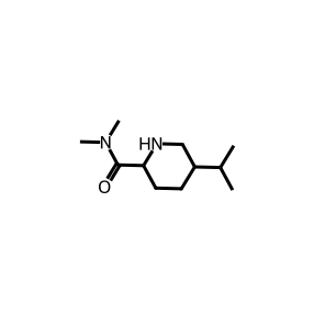 CC(C)C1CCC(C(=O)N(C)C)NC1